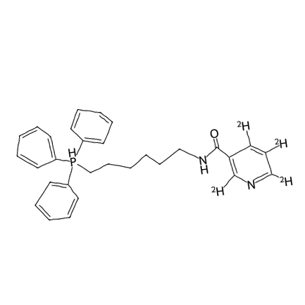 [2H]c1nc([2H])c(C(=O)NCCCCCC[PH](c2ccccc2)(c2ccccc2)c2ccccc2)c([2H])c1[2H]